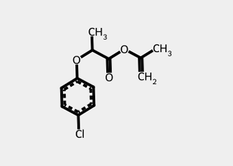 C=C(C)OC(=O)C(C)Oc1ccc(Cl)cc1